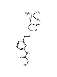 CC(C)(C)OC(=O)Nc1cccc(CC[C@@H]2CC(O[Si](C)(C)C)C(=O)O2)c1